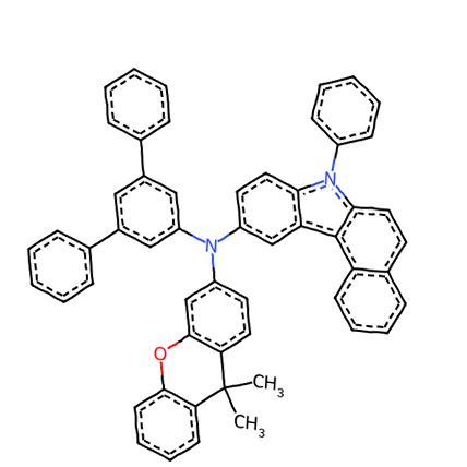 CC1(C)c2ccccc2Oc2cc(N(c3cc(-c4ccccc4)cc(-c4ccccc4)c3)c3ccc4c(c3)c3c5ccccc5ccc3n4-c3ccccc3)ccc21